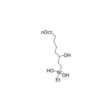 CCCCCCCCCCCCC(O)CC[N+](O)(O)CC